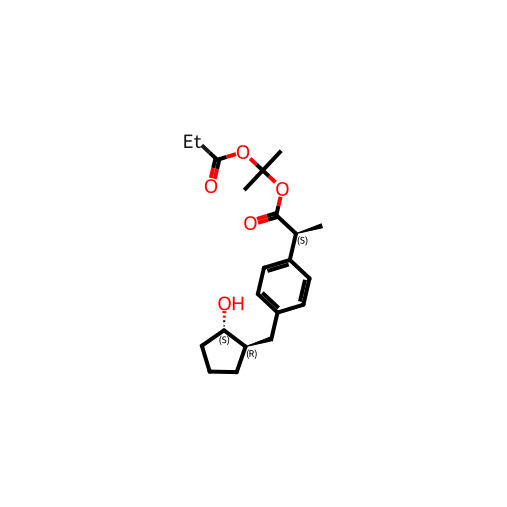 CCC(=O)OC(C)(C)OC(=O)[C@@H](C)c1ccc(C[C@H]2CCC[C@@H]2O)cc1